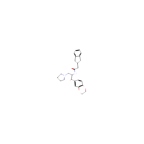 O=C(CC1Cc2ccccc2C1)NC(CN1CCCC1)C(O)c1ccc2c(c1)OCCO2